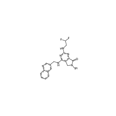 CC(C)N1Cc2c(NCc3cnc4ccccc4c3)nc(NCC(F)F)nc2C1=O